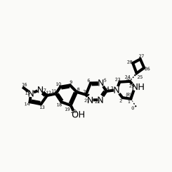 C[C@@H]1CN(c2ncc(-c3ccc(-c4ccn(C)n4)cc3O)nn2)C[C@H](C2CCC2)N1